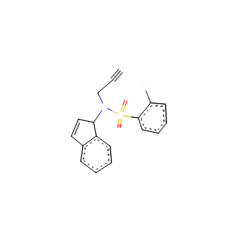 C#CCN(C1C=Cc2ccccc21)S(=O)(=O)c1ccccc1[N+](=O)[O-]